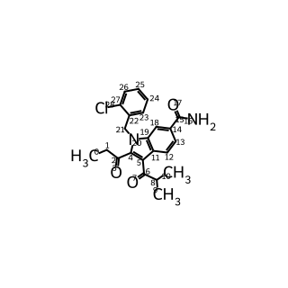 CCC(=O)c1c(C(=O)C(C)C)c2ccc(C(N)=O)cc2n1Cc1ccccc1Cl